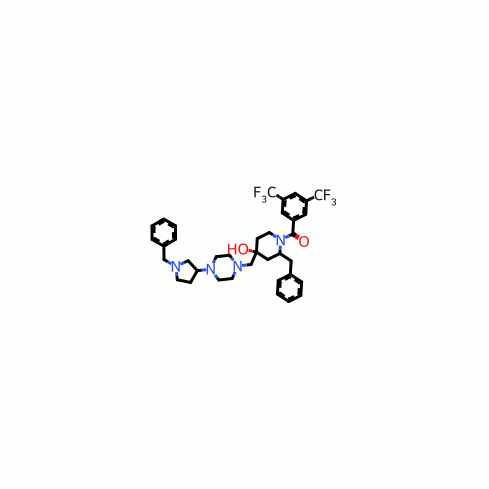 O=C(c1cc(C(F)(F)F)cc(C(F)(F)F)c1)N1CCC(O)(CN2CCN(C3CCN(Cc4ccccc4)C3)CC2)CC1Cc1ccccc1